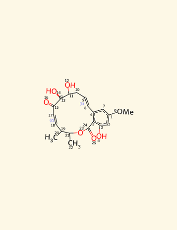 COc1cc(O)c2c(c1)/C=C/CC(O)[C@H](O)C(=O)/C=C\C(C)C(C)OC2=O